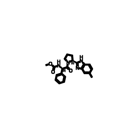 COC(=O)N[C@@H](C(=O)N1CCC[C@H]1c1nc2cc(C)ccc2[nH]1)c1ccccc1